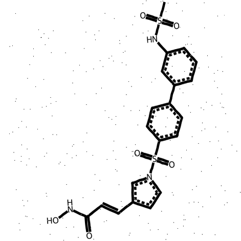 CS(=O)(=O)Nc1cccc(-c2ccc(S(=O)(=O)n3ccc(C=CC(=O)NO)c3)cc2)c1